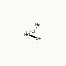 Cl.OO.[Hg]